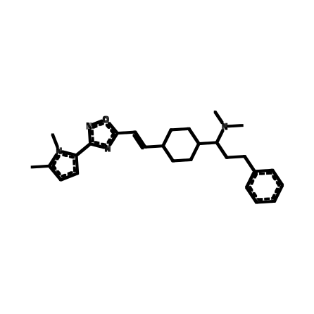 Cc1ccc(-c2noc(C=CC3CCC(C(CCc4ccccc4)N(C)C)CC3)n2)n1C